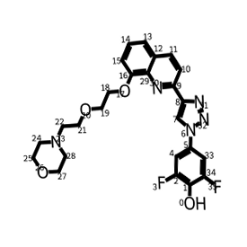 Oc1c(F)cc(-n2cc(-c3ccc4cccc(OCCOCCN5CCOCC5)c4n3)nn2)cc1F